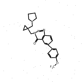 O=c1c2cc(-c3ccc(OC(F)(F)F)cc3)ccc2nnn1CC1(CN2CCCC2)CC1